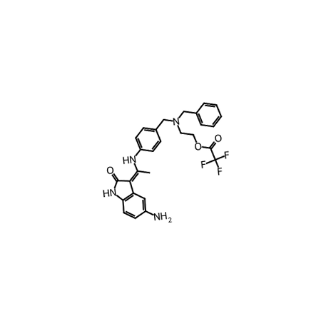 C/C(Nc1ccc(CN(CCOC(=O)C(F)(F)F)Cc2ccccc2)cc1)=C1/C(=O)Nc2ccc(N)cc21